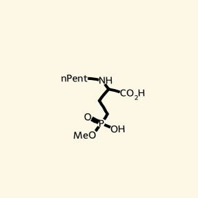 CCCCCNC(CCP(=O)(O)OC)C(=O)O